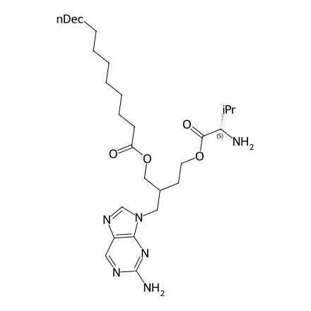 CCCCCCCCCCCCCCCCCC(=O)OCC(CCOC(=O)[C@@H](N)C(C)C)Cn1cnc2cnc(N)nc21